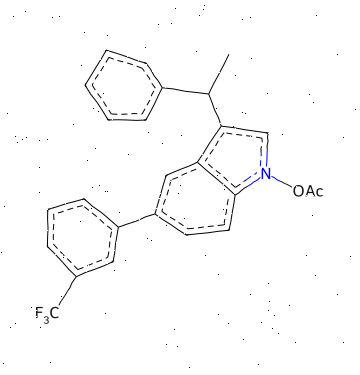 CC(=O)On1cc(C(C)c2ccccc2)c2cc(-c3cccc(C(F)(F)F)c3)ccc21